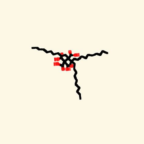 CCCCCCCCCCC(C)(CCCCCCCCCC)C(CCCCCCCCCC)(C(=O)O)C(C(=O)O)(C(=O)O)C(=O)O